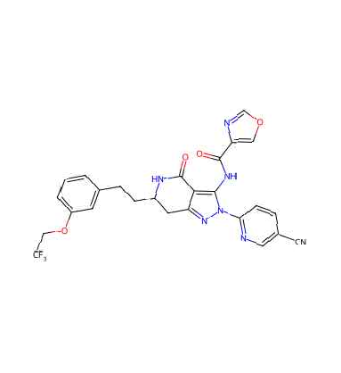 N#Cc1ccc(-n2nc3c(c2NC(=O)c2cocn2)C(=O)NC(CCc2cccc(OCC(F)(F)F)c2)C3)nc1